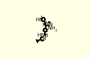 C[C@H]1CCC(c2nc(-c3ccc(C(=O)Nc4cc(C5CC5)ccn4)cc3)c3c(N)nccn23)CN1